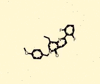 CCc1cn(Cc2ccc(OC)cc2)c(=O)c2ccc(-c3c(F)cccc3F)nc12